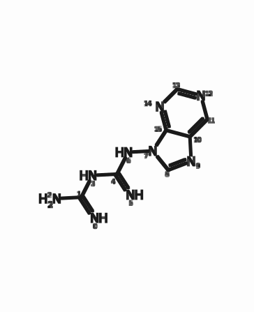 N=C(N)NC(=N)Nn1cnc2cncnc21